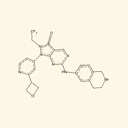 O=c1c2cnc(Nc3ccc4c(c3)CCNC4)nc2n(-c2ccnc(C3COC3)c2)n1CC(F)(F)F